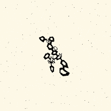 c1ccc(-c2cccc(-c3cnc(-c4ccc5c(c4)oc4c5ccc5c4c4ccccc4n5-c4ccccc4)c(-c4nc(-c5ccccc5)nc(-c5ccccc5)n4)c3)c2)cc1